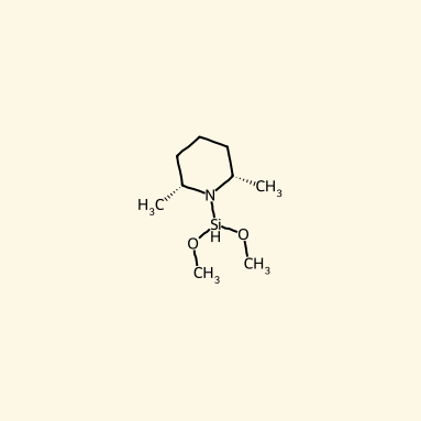 CO[SiH](OC)N1[C@H](C)CCC[C@@H]1C